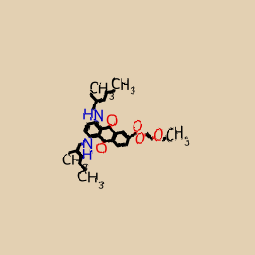 CCCCC(CC)CNc1ccc(NCC(CC)CCCC)c2c1C(=O)c1ccc(C(=O)OCCOCC)cc1C2=O